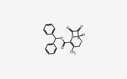 CC1=C(C(=O)OC(c2ccccc2)c2ccccc2)N2C(=O)C(=O)[C@@H]2SC1